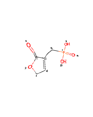 O=C1OCC=C1CP(=O)(O)O